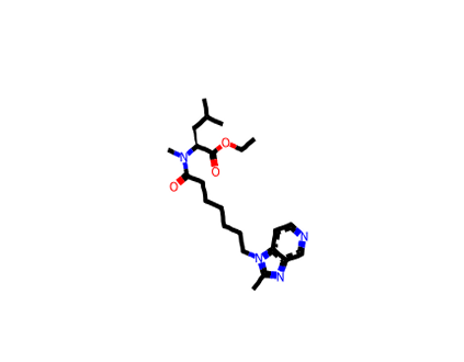 CCOC(=O)[C@H](CC(C)C)N(C)C(=O)CCCCCCn1c(C)nc2cnccc21